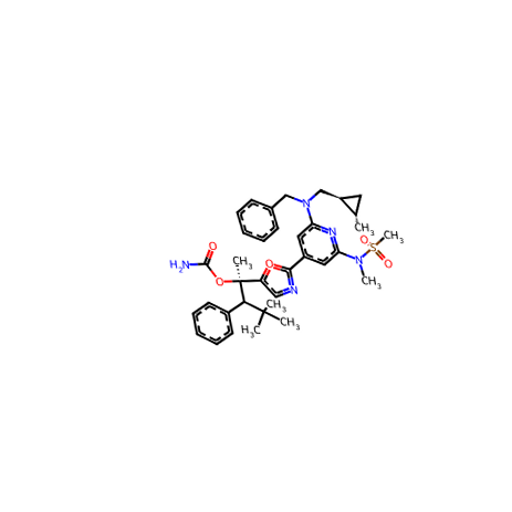 C[C@H]1C[C@@H]1CN(Cc1ccccc1)c1cc(-c2ncc([C@](C)(OC(N)=O)C(c3ccccc3)C(C)(C)C)o2)cc(N(C)S(C)(=O)=O)n1